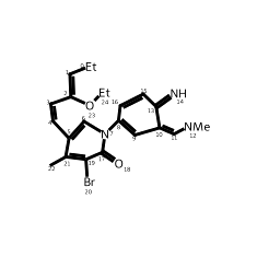 CC/C=C(/C=C\c1cn(C2=C/C(=C/NC)C(=N)C=C2)c(=O)c(Br)c1C)OCC